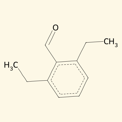 CCc1cccc(CC)c1C=O